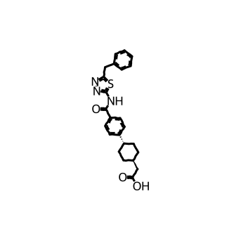 O=C(O)C[C@H]1CC[C@H](c2ccc(C(=O)Nc3nnc(Cc4ccccc4)s3)cc2)CC1